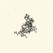 CCc1cc2c(cc1C(F)(F)F)N(C(=O)OC(C)CC)CCC[C@@H]2N(Cc1cc(C(F)(F)F)cc(C(F)(F)F)c1)c1nnn(C)n1